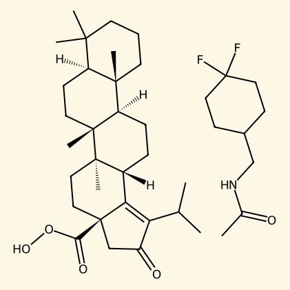 CC(=O)NCC1CCC(F)(F)CC1.CC(C)C1=C2[C@H]3CC[C@@H]4[C@@]5(C)CCCC(C)(C)[C@@H]5CC[C@@]4(C)[C@]3(C)CC[C@@]2(C(=O)OO)CC1=O